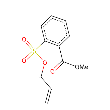 C=C[CH]OS(=O)(=O)c1ccccc1C(=O)OC